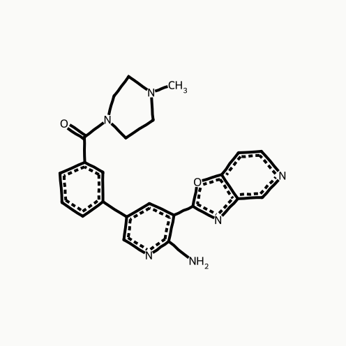 CN1CCN(C(=O)c2cccc(-c3cnc(N)c(-c4nc5cnccc5o4)c3)c2)CC1